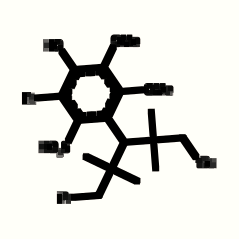 CCc1c(O)c(OC)c(OC)c(C(C(C)(C)CC(C)C)C(C)(C)CC(C)(C)C)c1S(=O)(=O)O